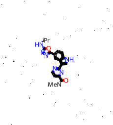 CNC(=O)c1ccnc(-c2c[nH]c3ccc(-c4nnc(NC(C)C)o4)cc23)n1